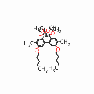 CCCCCOc1cc2c(cc1C)[Si](OC)(OC)[Si](OC)(OC)c1cc(C)c(OCCCCC)cc1-2